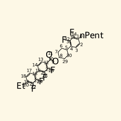 CCCCCc1ccc(C2CCC(OC(=O)c3ccc(-c4ccc(CC)c(F)c4F)c(F)c3F)CC2)c(F)c1F